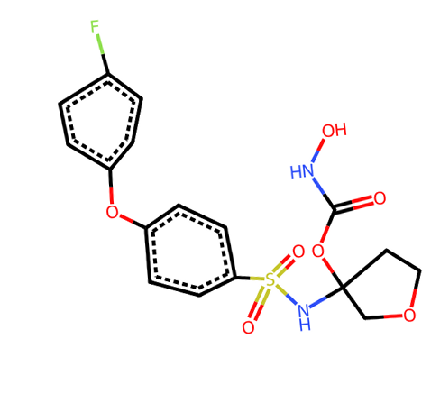 O=C(NO)OC1(NS(=O)(=O)c2ccc(Oc3ccc(F)cc3)cc2)CCOC1